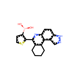 OB(O)c1ccsc1-c1nc2ccc3[nH]ncc3c2c2c1CCCC2